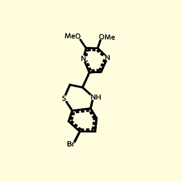 COc1ncc(C2CSc3cc(Br)ccc3N2)nc1OC